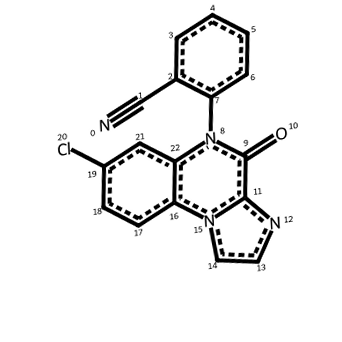 N#Cc1ccccc1-n1c(=O)c2nccn2c2ccc(Cl)cc21